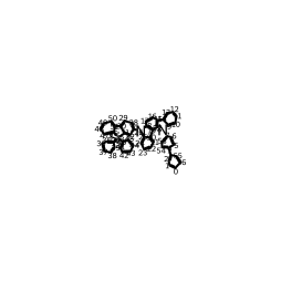 c1ccc(-c2ccc(-n3c4ccccc4c4ccc5c(c6ccccc6n5-c5ccc6c(c5)[Si](c5ccccc5)(c5ccccc5)c5ccccc5-6)c43)cc2)cc1